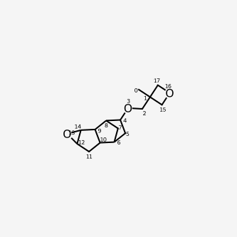 CC1(COC2CC3CC2C2C3CC3OC32)COC1